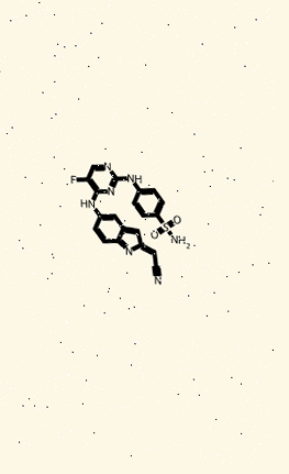 N#CC=C1C=c2cc(Nc3nc(Nc4ccc(S(N)(=O)=O)cc4)ncc3F)ccc2=N1